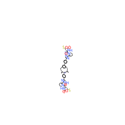 C=C1/C=C(/c2ccc(-c3c[nH]c([C@@H]4CCCCN4C(=O)[C@H](CCSC)NC(=O)OC)n3)cc2)C(=C)CCc2ccc(c(-c3ccc(-c4c[nH]c([C@@H]5CCCCN5C(=O)[C@H](CCSC)NC(=O)OC)n4)cc3)c2)CC1